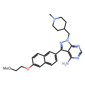 COCCOc1ccc2cc(-c3nn(CC4CCN(C)CC4)c4ncnc(N)c34)ccc2c1